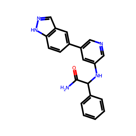 NC(=O)C(Nc1cncc(-c2ccc3[nH]ncc3c2)c1)c1ccccc1